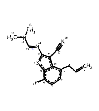 C=CCc1ccc(F)c2sc(/N=C/N(C)C)c(C#N)c12